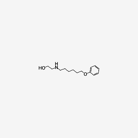 OCCNCCCCCCOc1ccccc1